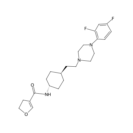 O=C(N[C@H]1CC[C@H](CCN2CCN(c3ccc(F)cc3F)CC2)CC1)C1=COCC1